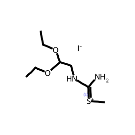 CCOC(CN/C(N)=[S+]/C)OCC.[I-]